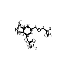 C[C@@H](O)COCc1cc(OC(N)=O)c2nnn(C)c2c1